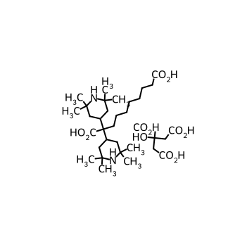 CC1(C)CC(C(CCCCCCCC(=O)O)(C(=O)O)C2CC(C)(C)NC(C)(C)C2)CC(C)(C)N1.O=C(O)CC(O)(CC(=O)O)C(=O)O